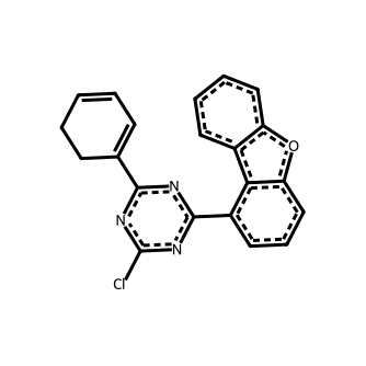 Clc1nc(C2=CC=CCC2)nc(-c2cccc3oc4ccccc4c23)n1